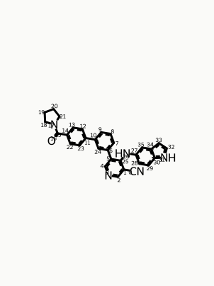 N#Cc1cncc(-c2cccc(-c3ccc(C(=O)N4CCCC4)cc3)c2)c1Nc1ccc2[nH]ccc2c1